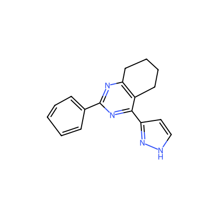 c1ccc(-c2nc3c(c(-c4cc[nH]n4)n2)CCCC3)cc1